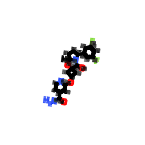 NC(=O)c1ccnc(OC2CC3(C2)O[C@@H]2CC[C@@H](c4cc(F)cc(F)c4)N2C3=O)c1